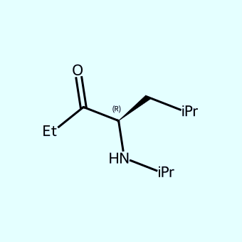 CCC(=O)[C@@H](CC(C)C)NC(C)C